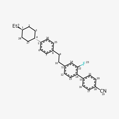 CC[C@H]1CC[C@H](c2ccc(CCc3ccc(-c4ccc(C#N)cc4)c(F)c3)cc2)CC1